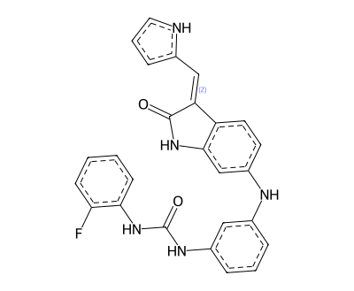 O=C(Nc1cccc(Nc2ccc3c(c2)NC(=O)/C3=C\c2ccc[nH]2)c1)Nc1ccccc1F